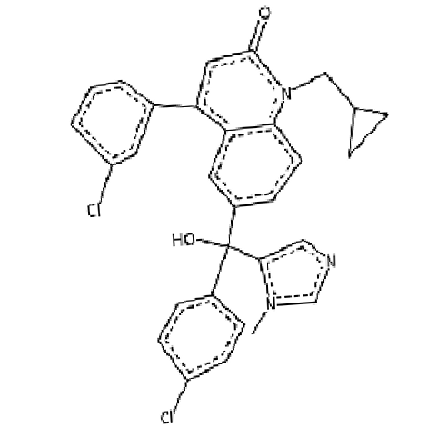 Cn1cncc1C(O)(c1ccc(Cl)cc1)c1ccc2c(c1)c(-c1cccc(Cl)c1)cc(=O)n2CC1CC1